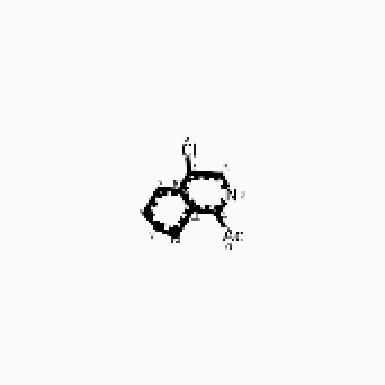 CC(=O)c1ncc(Cl)c2ccccc12